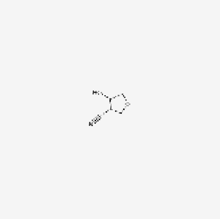 N#CC1COCC1O